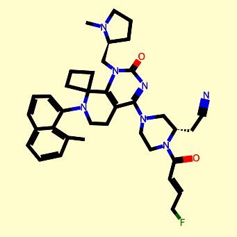 Cc1cccc2cccc(N3CCc4c(N5CCN(C(=O)/C=C/CF)[C@@H](CC#N)C5)nc(=O)n(C[C@@H]5CCCN5C)c4C34CCC4)c12